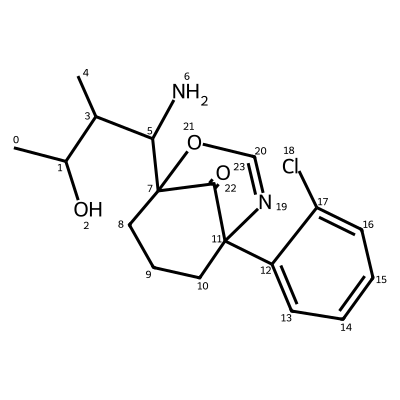 CC(O)C(C)C(N)C12CCCC(c3ccccc3Cl)(N=CO1)C2=O